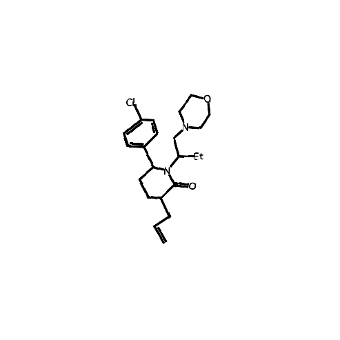 C=CCC1CCC(c2ccc(Cl)cc2)N(C(CC)CN2CCOCC2)C1=O